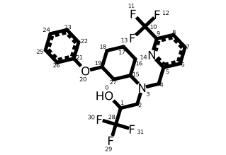 OC(CN(Cc1cccc(C(F)(F)F)n1)C1CCCC(Oc2ccccc2)C1)C(F)(F)F